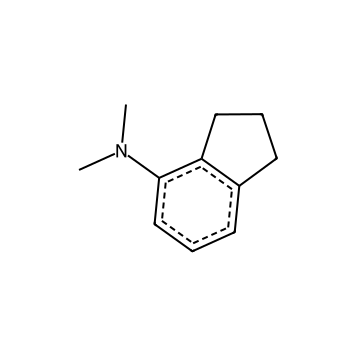 CN(C)c1cccc2c1CCC2